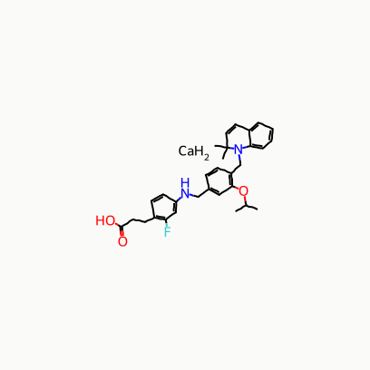 CC(C)Oc1cc(CNc2ccc(CCC(=O)O)c(F)c2)ccc1CN1c2ccccc2C=CC1(C)C.[CaH2]